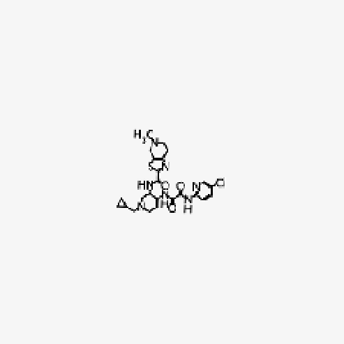 CN1CCc2nc(C(=O)N[C@@H]3CN(CC4CC4)CC[C@@H]3NC(=O)C(=O)Nc3ccc(Cl)cn3)sc2C1